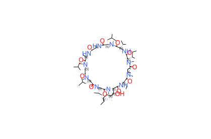 C/C=C/C[C@@H](C)[C@@H](O)[C@H]1C(=O)N[C@@H](CC)C(=O)N(C)CC(=O)N(C)[C@@H](C(C)CC)C(=O)N[C@@H](C(C)C)C(=O)N(C)[C@@H](CC(C)C)C(=O)N[C@@H](C)C(=O)N[C@H](C)C(=O)N(C)[C@@H](CC(C)C)C(=O)N(C)[C@@H](CC(C)C)C(=O)N(C)[C@@H](C(C)C)C(=O)N1C